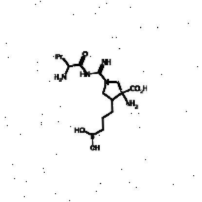 CC(C)C(N)C(=O)NC(=N)N1CC(CCCB(O)O)C(N)(C(=O)O)C1